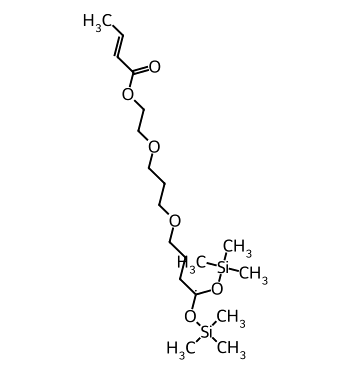 CC=CC(=O)OCCOCCCOCCC[C](O[Si](C)(C)C)O[Si](C)(C)C